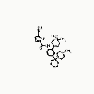 C#Cc1cnc(C(=O)Nc2ccc(C3(N4CCN(C)CC4)CCOCC3)cc2C2=CCC(C)(C)CC2)[nH]1